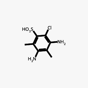 Cc1c(N)c(C)c(S(=O)(=O)O)c(Cl)c1N